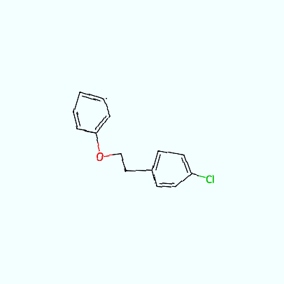 Clc1ccc(CCOc2c[c]ccc2)cc1